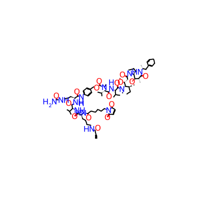 C#CC(=O)NCCCC[C@H](NC(=O)CCCCCN1C(=O)C=CC1=O)C(=O)N[C@H](C(=O)N[C@@H](CCCNC(N)=O)C(=O)Nc1ccc(COC(=O)N(C)[C@H](C(=O)N[C@H](C(=O)N(C)[C@@H]([C@@H](C)CC)[C@@H](CC(=O)N2CCC[C@H]2[C@H](OC)[C@@H](C)C(=O)N[C@H](C)CC2=CCCC=C2)OC)C(C)C)C(C)C)cc1)C(C)C